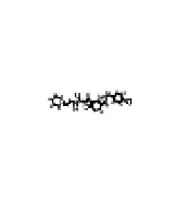 Cc1c(C(=O)NCCN2CCCCC2)oc2c1-c1nn(Cc3ccc(Cl)cc3)cc1CC2